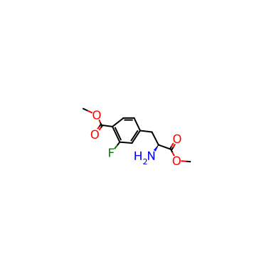 COC(=O)c1ccc(C[C@H](N)C(=O)OC)cc1F